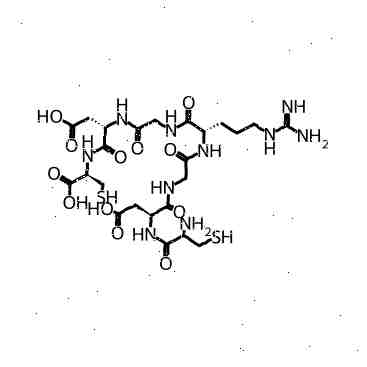 N=C(N)NCCC[C@H](NC(=O)CNC(=O)[C@H](CC(=O)O)NC(=O)[C@@H](N)CS)C(=O)NCC(=O)N[C@@H](CC(=O)O)C(=O)N[C@@H](CS)C(=O)O